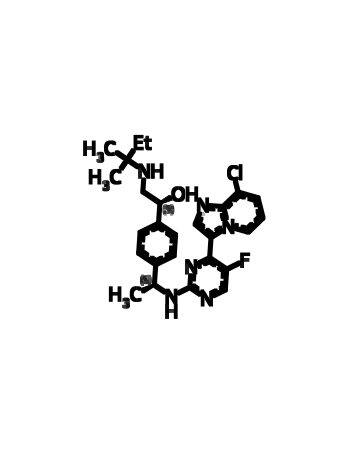 CCC(C)(C)NC[C@@H](O)c1ccc([C@H](C)Nc2ncc(F)c(-c3cnc4c(Cl)cccn34)n2)cc1